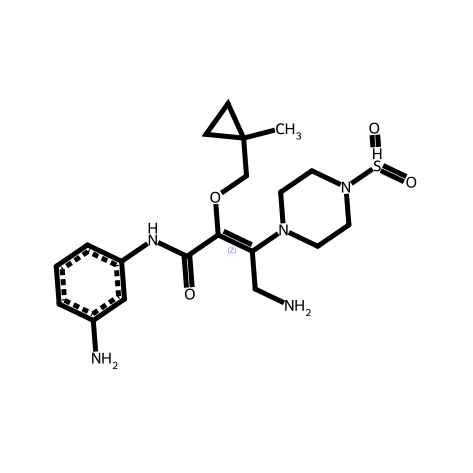 CC1(CO/C(C(=O)Nc2cccc(N)c2)=C(/CN)N2CCN([SH](=O)=O)CC2)CC1